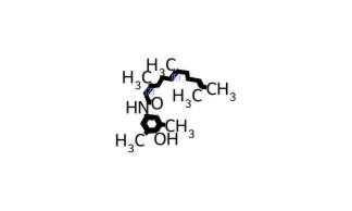 CC(C)=CCC/C(C)=C/CC/C(C)=C\C(=O)Nc1cc(C)c(O)c(C)c1